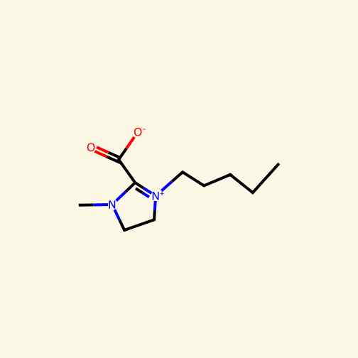 CCCCC[N+]1=C(C(=O)[O-])N(C)CC1